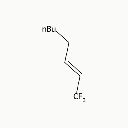 CCCCCC=CC(F)(F)F